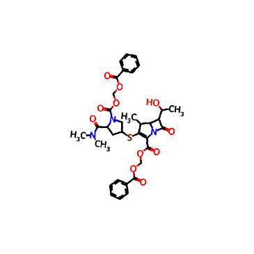 CC(O)C1C(=O)N2C(C(=O)OCOC(=O)c3ccccc3)=C(SC3CC(C(=O)N(C)C)N(C(=O)OCOC(=O)c4ccccc4)C3)C(C)C12